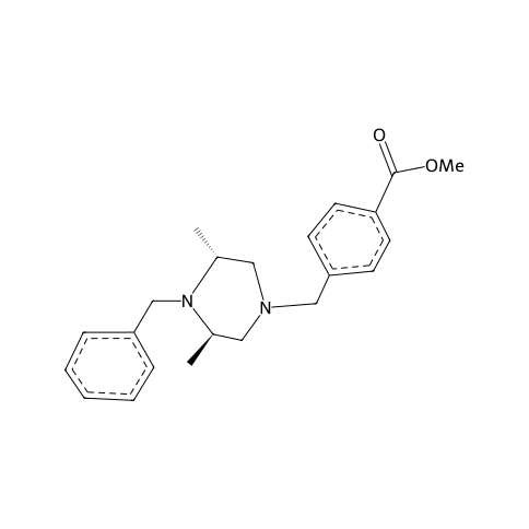 COC(=O)c1ccc(CN2C[C@@H](C)N(Cc3ccccc3)[C@H](C)C2)cc1